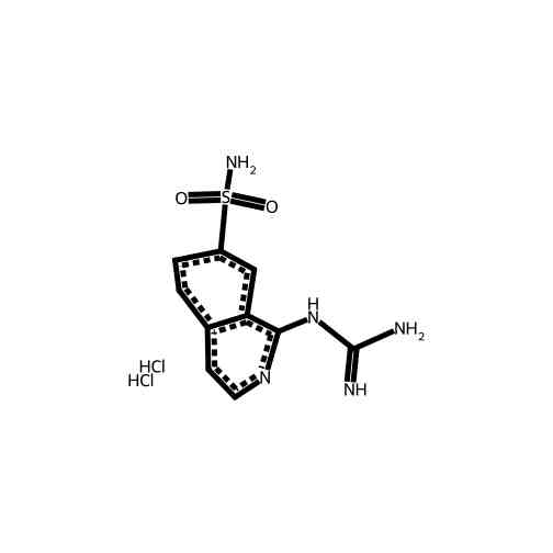 Cl.Cl.N=C(N)Nc1nccc2ccc(S(N)(=O)=O)cc12